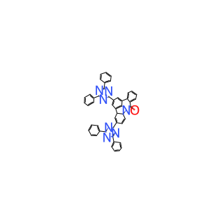 O=c1c2ccccc2c2cc(-c3nc(-c4ccccc4)nc(-c4ccccc4)n3)cc3c2n1C1C=CC(c2nc(-c4ccccc4)nc(-c4ccccc4)n2)=CC31